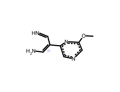 COc1cncc(/C(C=N)=C/N)n1